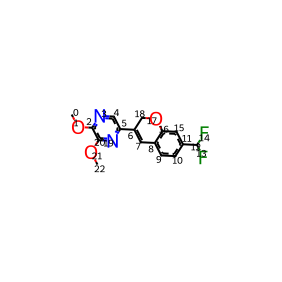 COc1ncc(C2=Cc3ccc(C(F)F)cc3OC2)nc1OC